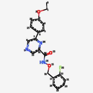 CCOc1ccc(-c2cncc(C(=O)NOCc3ccccc3F)n2)cc1